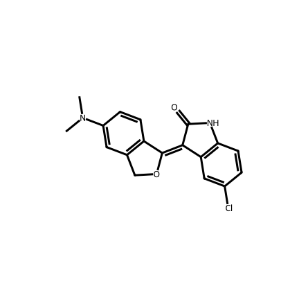 CN(C)c1ccc2c(c1)COC2=C1C(=O)Nc2ccc(Cl)cc21